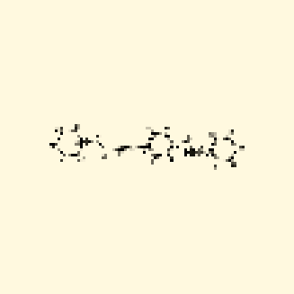 C(#Cc1ccc(CNc2ccccc2)cc1)CCN1CCCCC1